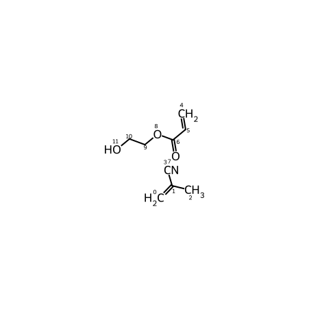 C=C(C)C#N.C=CC(=O)OCCO